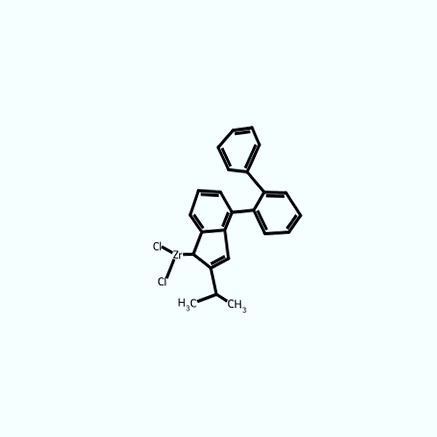 CC(C)C1=Cc2c(-c3ccccc3-c3ccccc3)cccc2[CH]1[Zr]([Cl])[Cl]